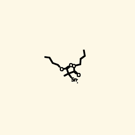 CCCCOC(=O)[C](C)([Sn])C(=O)OCCCC